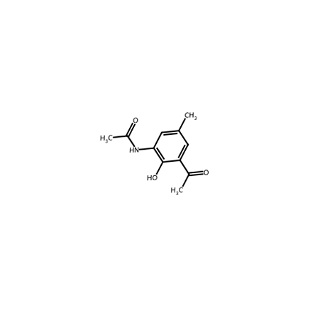 CC(=O)Nc1cc(C)cc(C(C)=O)c1O